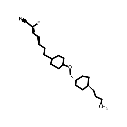 CCCC[C@H]1CC[C@H](COC2CCC(CCC=CC=C(F)C#N)CC2)CC1